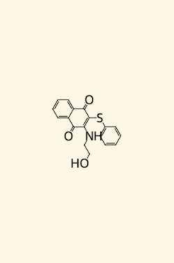 O=C1C(NCCO)=C(Sc2ccccc2)C(=O)c2ccccc21